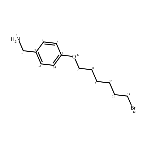 NCc1ccc(OCCCCCCBr)cc1